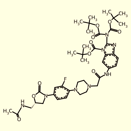 CC(=O)NC[C@H]1CN(c2ccc(N3CCN(CC(=O)Nc4ccc5nc(N(C(=O)OC(C)(C)C)C(=O)OC(C)(C)C)n(C(=O)OC(C)(C)C)c5c4)CC3)c(F)c2)C(=O)O1